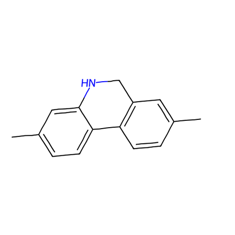 Cc1ccc2c(c1)CNc1cc(C)ccc1-2